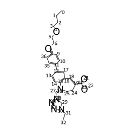 CCCCOCCOc1ccc(-c2ccc3c(c2)C=C(C(=O)OC)CCN3CN2CN(CC)N=N2)cc1